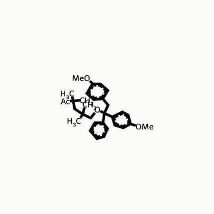 COc1ccc(CC(OCC(C)(C)CC(C)(C)C(C)=O)(c2ccccc2)c2ccc(OC)cc2)cc1